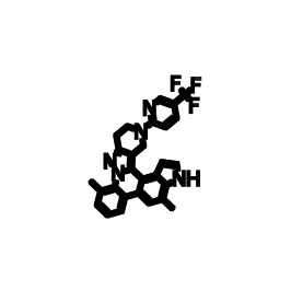 Cc1cc2c3cccc(C)c3n3nc4c(c3c2c2cc[nH]c12)CN(c1ccc(C(F)(F)F)cn1)CC4